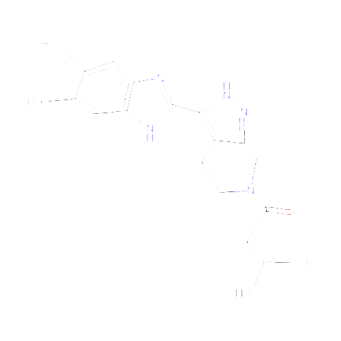 Cc1cc2nc(-c3[nH]nc4c3CCN(C(=O)CC(C)C)C4)[nH]c2cc1C